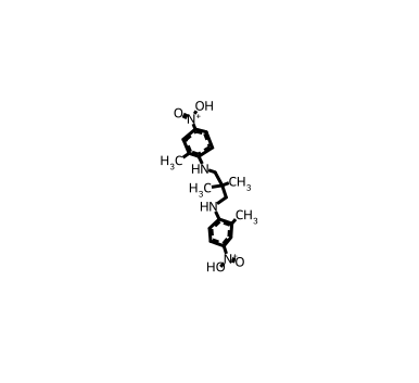 Cc1cc([N+](=O)O)ccc1NCC(C)(C)CNc1ccc([N+](=O)O)cc1C